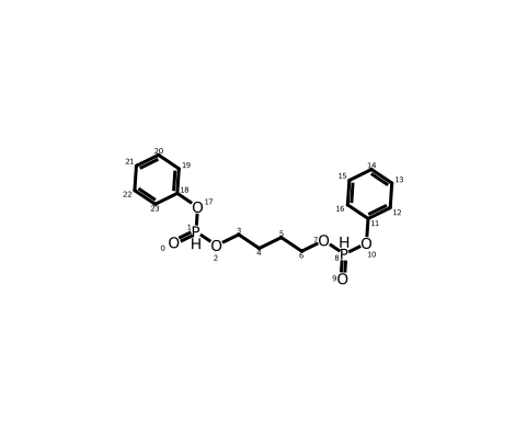 O=[PH](OCCCCO[PH](=O)Oc1ccccc1)Oc1ccccc1